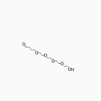 O=CCCCOCCOCCOCCOCCO